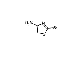 NC1CSC(Br)=N1